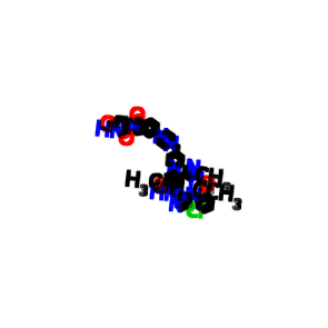 COc1cc(N2CCC(CN3CCN(c4ccc5c(c4)CN(C4CCC(=O)NC4=O)C5=O)CC3)CC2)c(-c2cnn(C)c2)cc1Nc1ncc(Cl)c(Nc2ccccc2P(C)(C)=O)n1